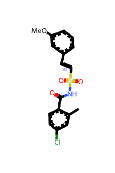 COc1cccc(/C=C/S(=O)(=O)NC(=O)c2ccc(Cl)cc2C)c1